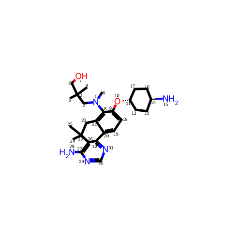 CN(CC(C)(C)CO)c1c(O[C@H]2CC[C@H](N)CC2)ccc2c1CC(C)(C)c1c(N)ncnc1-2